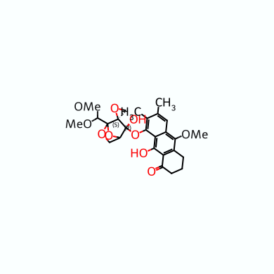 COc1c2c(c(O)c3c(O[C@]4(O)C5COC(C(OC)OC)(O5)[C@]45CO5)c(C)c(C)cc13)C(=O)CCC2